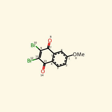 COc1ccc2c(c1)C(=O)C(Br)=C(Br)C2=O